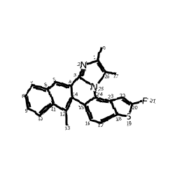 Cc1nc2c3cc4ccccc4c(C)c3c3ccc4sc(F)cc4c3n2c1C